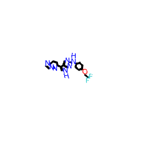 FC(F)CO[C@H]1CC[C@@H](Nc2ncc3c(-c4ccc5nccn5n4)c[nH]c3n2)CC1